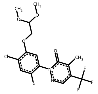 COC(COc1cc(-n2ncc(C(F)(F)F)c(C)c2=O)c(F)cc1Cl)OC